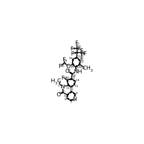 CCN(C(=O)c1ccncc1)c1cccc(C(=O)Nc2c(C)cc(C(F)(C(F)(F)F)C(F)(F)F)cc2OC(F)F)c1F